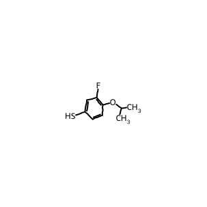 CC(C)Oc1ccc(S)cc1F